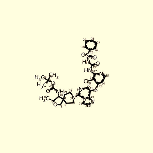 C[C@@H]1OCC2(CCN(c3ncc(Sc4ccnc(NC(=O)NS(=O)(=O)c5ccccc5)c4Cl)c4nncn34)CC2)[C@@H]1NC(=O)OC(C)(C)C